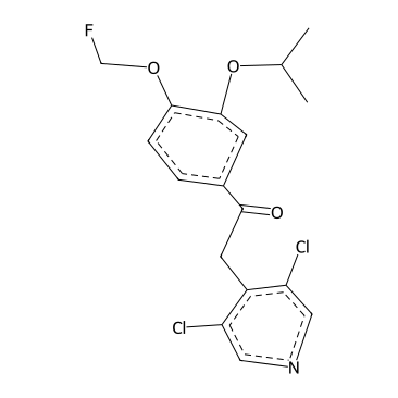 CC(C)Oc1cc(C(=O)Cc2c(Cl)cncc2Cl)ccc1OCF